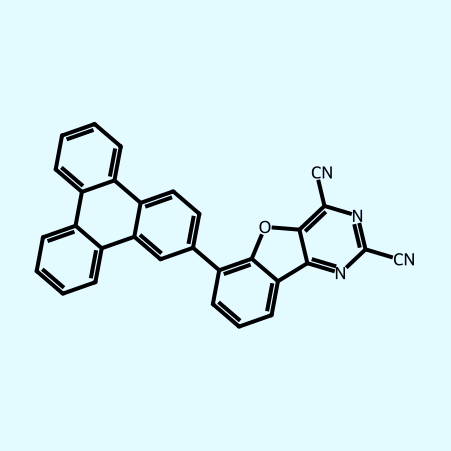 N#Cc1nc(C#N)c2oc3c(-c4ccc5c6ccccc6c6ccccc6c5c4)cccc3c2n1